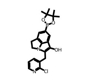 CC1(C)OB(c2cc3c4c(c2)c(O)c(Cc2cccnc2Cl)n4CC3)OC1(C)C